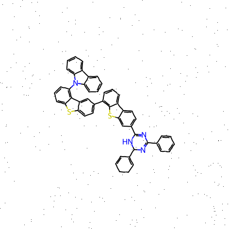 C1=CC(C2N=C(c3ccccc3)N=C(c3ccc4c(c3)sc3c(-c5ccc6sc7cccc(-n8c9ccccc9c9ccccc98)c7c6c5)cccc34)N2)=CCC1